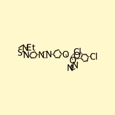 CCn1ccsc1=Nc1ccc(N2CCN(c3ccc(OC[C@@H]4CO[C@@](Cn5ccnc5)(c5ccc(Cl)cc5Cl)O4)cc3)CC2)cc1